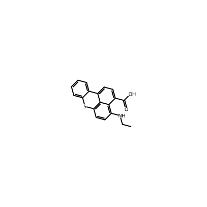 CCNc1ccc2c3c(ccc(C(=O)O)c13)-c1ccccc1S2